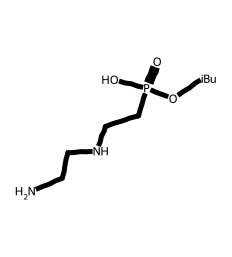 CCC(C)OP(=O)(O)CCNCCN